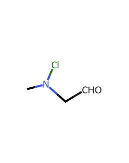 CN(Cl)CC=O